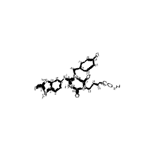 Cc1nc2ccc(/N=c3\[nH]c(=O)n(CCCC(=O)O)c(=O)n3CC3C=CC(Cl)=CC3)cc2s1